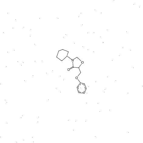 O=C1C(COc2ccccc2)OCN1C1CCCCC1